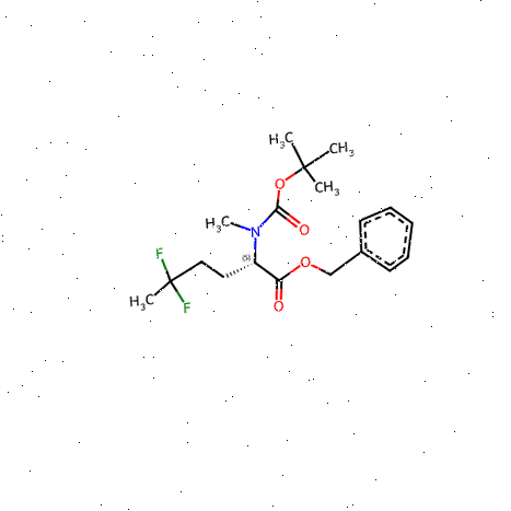 CN(C(=O)OC(C)(C)C)[C@@H](CCC(C)(F)F)C(=O)OCc1ccccc1